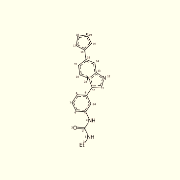 CCNC(=O)Nc1cccc(-c2cnc3cc(-c4ccsc4)ccn23)c1